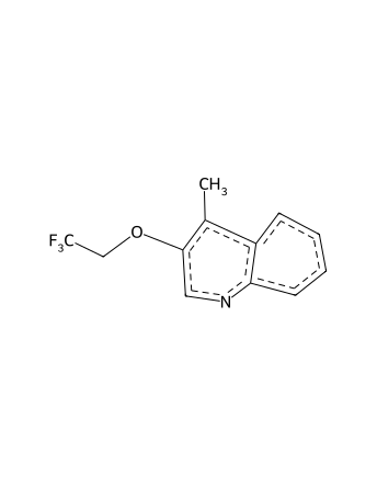 Cc1c(OCC(F)(F)F)cnc2ccccc12